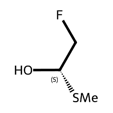 CS[C@H](O)CF